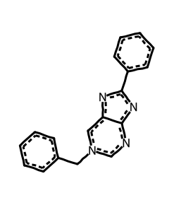 c1ccc(Cn2cnc3nc(-c4ccccc4)nc-3c2)cc1